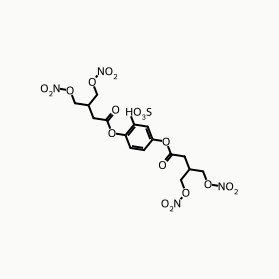 O=C(CC(CO[N+](=O)[O-])CO[N+](=O)[O-])Oc1ccc(OC(=O)CC(CO[N+](=O)[O-])CO[N+](=O)[O-])c(S(=O)(=O)O)c1